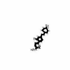 CCCc1ccc(-c2ccc(CCC3CCC(CC)CC3)cc2F)nn1